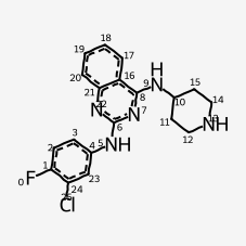 Fc1ccc(Nc2nc(NC3CCNCC3)c3ccccc3n2)cc1Cl